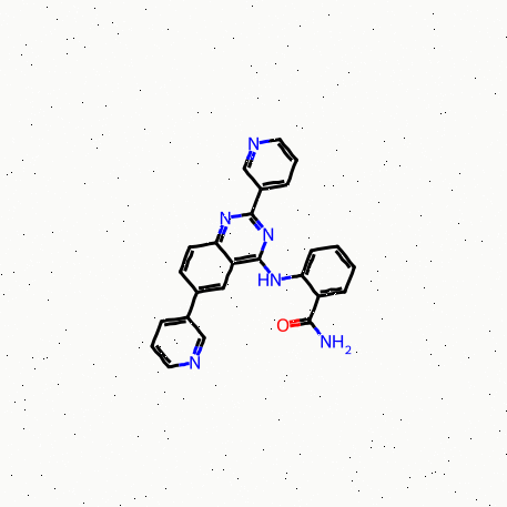 NC(=O)c1ccccc1Nc1nc(-c2cccnc2)nc2ccc(-c3cccnc3)cc12